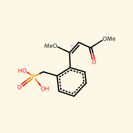 COC(=O)/C=C(/OC)c1ccccc1CP(=O)(O)O